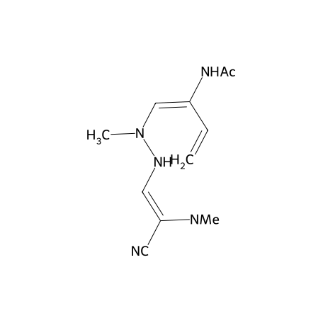 C=C/C(=C\N(C)N/C=C(/C#N)NC)NC(C)=O